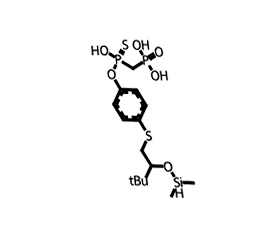 C[SiH](C)OC(CSc1ccc(OP(O)(=S)CP(=O)(O)O)cc1)C(C)(C)C